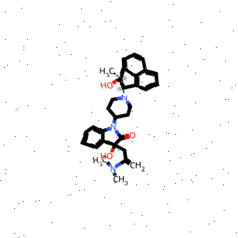 C=C(CC1(O)C(=O)N(C2CCN([C@H]3c4cccc5cccc(c45)[C@]3(C)O)CC2)c2ccccc21)N(C)C